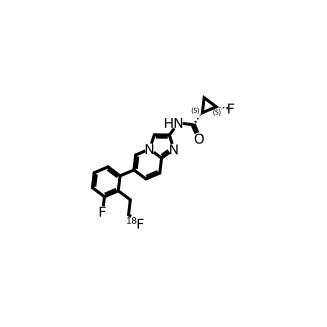 O=C(Nc1cn2cc(-c3cccc(F)c3CC[18F])ccc2n1)[C@@H]1C[C@@H]1F